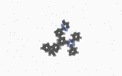 Cc1ccnc(-c2cccc(-c3cc(-c4ccc5c(c4)-c4ccccc4C5(C)C)cc(-c4nc(-c5ccccc5)nc(-c5ccccc5)n4)c3)c2)n1